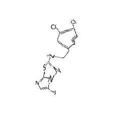 Clc1ccc(CNc2nn3c(I)cnc3s2)cc1Cl